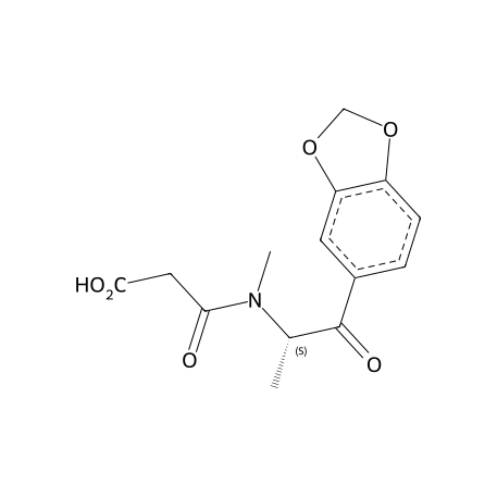 C[C@@H](C(=O)c1ccc2c(c1)OCO2)N(C)C(=O)CC(=O)O